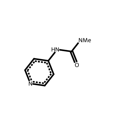 CNC(=O)Nc1ccncc1